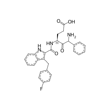 NC(C(=O)[C@H](CCC(=O)O)NC(=O)c1[nH]c2ccccc2c1Cc1ccc(F)cc1)c1ccccc1